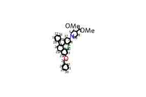 COC(OC)C1CCN(C2C=C(F)C(C3=C(c4ccccc4)CCc4cc(OCc5ccccc5)ccc43)=CC2)CC1